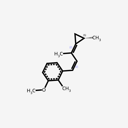 COc1cccc(/C=C\C(C)=C2\C[C@@H]2C)c1C